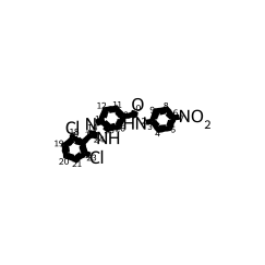 O=C(Nc1ccc([N+](=O)[O-])cc1)c1ccc2nc(-c3c(Cl)cccc3Cl)[nH]c2c1